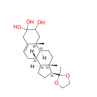 CC1([C@H]2CC[C@H]3[C@@H]4CC=C5CC(O)(O)C(O)C[C@]5(C)[C@H]4CC[C@]23C)OCCO1